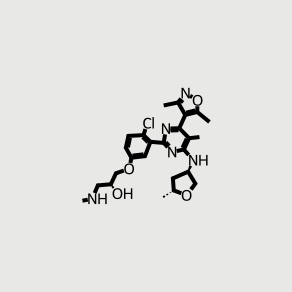 CNC[C@@H](O)COc1ccc(Cl)c(-c2nc(N[C@H]3CO[C@H](C)C3)c(C)c(-c3c(C)noc3C)n2)c1